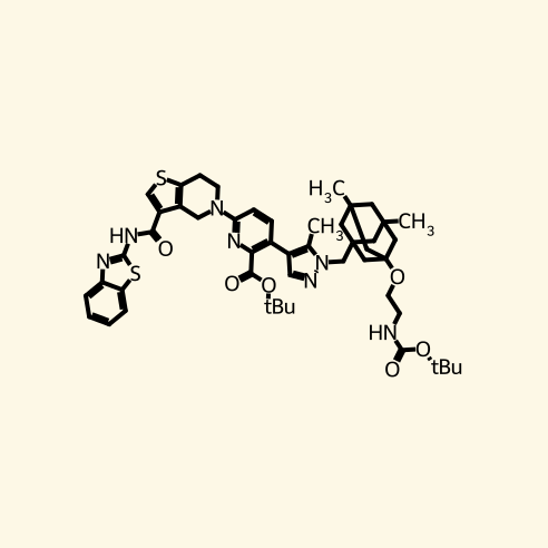 Cc1c(-c2ccc(N3CCc4scc(C(=O)Nc5nc6ccccc6s5)c4C3)nc2C(=O)OC(C)(C)C)cnn1CC12CC3(C)CC(C)(C1)CC(OCCNC(=O)OC(C)(C)C)(C3)C2